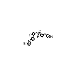 C[C@]1(Br)CN(Cc2cccc(-c3cc(CNC(=O)c4cccc(CC5CCNCC5)c4)ccc3F)c2)CC[N+]1(C)C